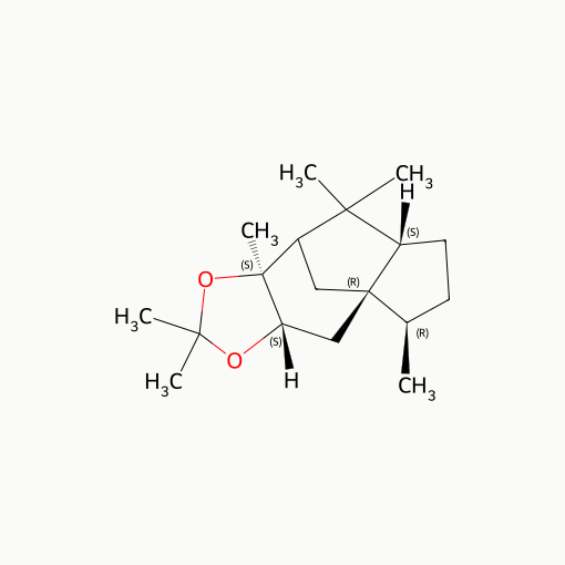 C[C@@H]1CC[C@H]2C(C)(C)C3C[C@@]12C[C@@H]1OC(C)(C)O[C@@]31C